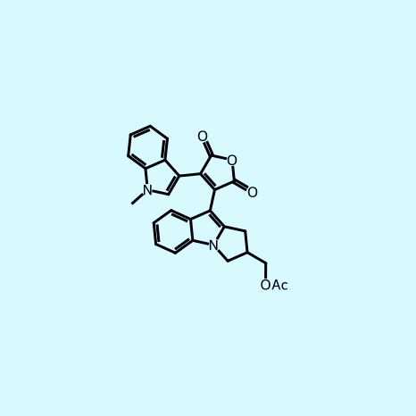 CC(=O)OCC1Cc2c(C3=C(c4cn(C)c5ccccc45)C(=O)OC3=O)c3ccccc3n2C1